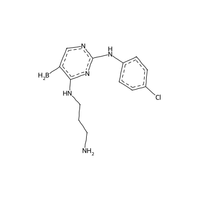 Bc1cnc(Nc2ccc(Cl)cc2)nc1NCCCN